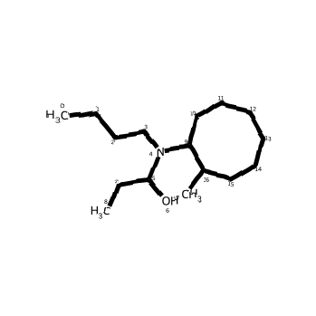 CCCCN(C(O)CC)C1CCCCCCC1C